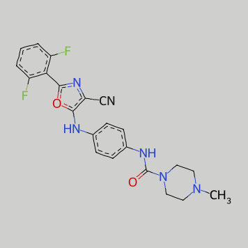 CN1CCN(C(=O)Nc2ccc(Nc3oc(-c4c(F)cccc4F)nc3C#N)cc2)CC1